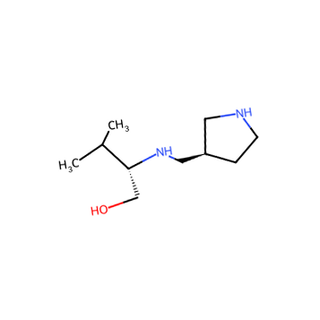 CC(C)[C@@H](CO)NC[C@@H]1CCNC1